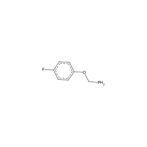 Fc1ccc(OCP)cc1